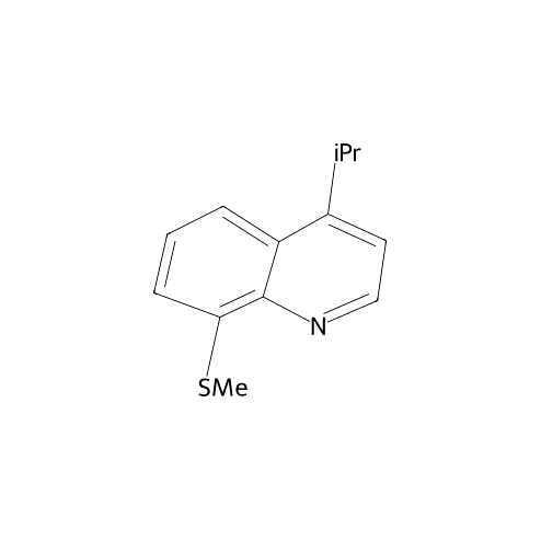 CSc1cccc2c(C(C)C)ccnc12